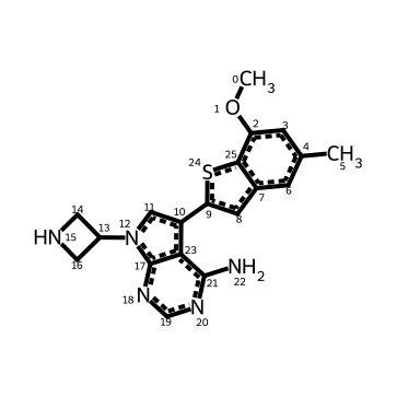 COc1cc(C)cc2cc(-c3cn(C4CNC4)c4ncnc(N)c34)sc12